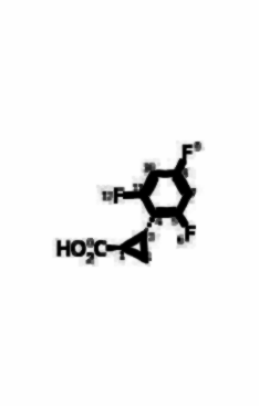 O=C(O)[C@@H]1C[C@H]1c1c(F)cc(F)cc1F